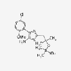 COc1ccc(Cl)cc1-c1nc(CC(C)(C)O[Si](C)(C)C(C)(C)C)sc1N